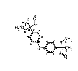 CC(C=O)(CN)c1ccc(Cc2ccc(C(C)(C=O)CN)cc2)cc1